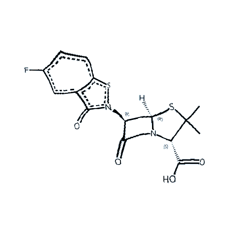 CC1(C)S[C@@H]2[C@H](n3sc4ccc(F)cc4c3=O)C(=O)N2[C@H]1C(=O)O